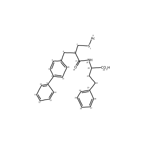 CC(=O)SCC(Cc1ccc(-c2ccccc2)cc1)C(=O)NC(CCc1ccccc1)C(=O)O